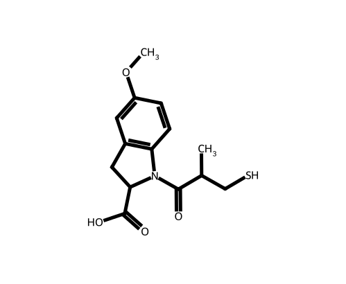 COc1ccc2c(c1)CC(C(=O)O)N2C(=O)C(C)CS